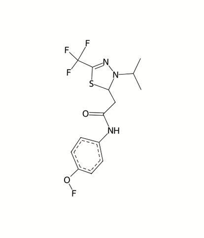 CC(C)N1N=C(C(F)(F)F)SC1CC(=O)Nc1ccc(OF)cc1